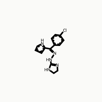 Clc1ccc(C(=NNC2=NCCN2)c2ccc[nH]2)cc1